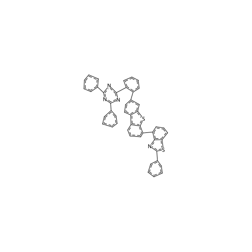 c1ccc(-c2nc(-c3ccccc3)nc(-c3ccccc3-c3ccc4c(c3)sc3c(-c5cccc6sc(-c7ccccc7)nc56)cccc34)n2)cc1